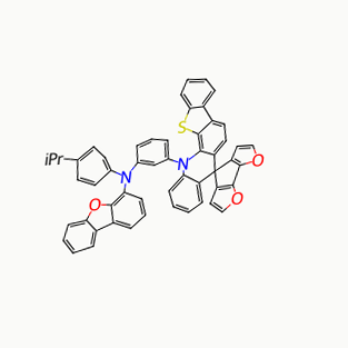 CC(C)c1ccc(N(c2cccc(N3c4ccccc4C4(c5ccoc5-c5occc54)c4ccc5c(sc6ccccc65)c43)c2)c2cccc3c2oc2ccccc23)cc1